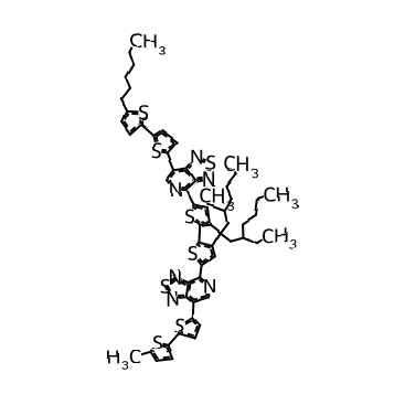 CCCCCCc1ccc(-c2ccc(-c3cnc(-c4cc5c(s4)-c4sc(-c6ncc(-c7ccc(-c8ccc(C)s8)s7)c7nsnc67)cc4C5(CC(CC)CCCC)CC(CC)CCCC)c4nsnc34)s2)s1